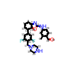 Cc1cc(Nc2nc3cccc(-c4cc(F)c(CN5CCNCC5)c(F)c4)c3o2)ccc1C=O